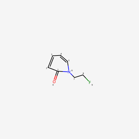 O=c1cc[c]cn1CCF